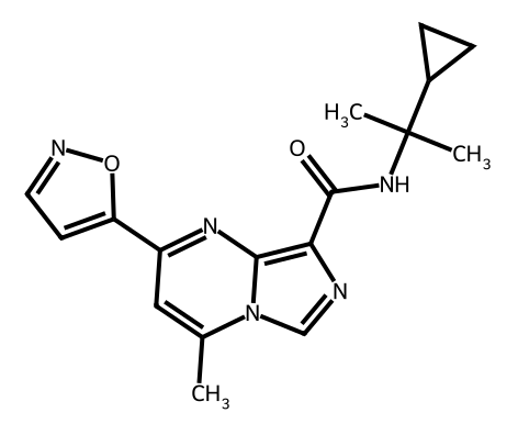 Cc1cc(-c2ccno2)nc2c(C(=O)NC(C)(C)C3CC3)ncn12